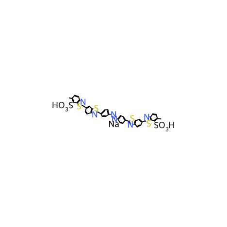 Cc1ccc2nc(-c3ccc4nc(-c5ccc(N=Nc6ccc(-c7nc8ccc(-c9nc%10ccc(C)c(S(=O)(=O)O)c%10s9)cc8s7)cc6)cc5)sc4c3)sc2c1S(=O)(=O)O.[Na+]